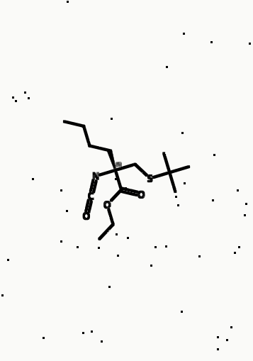 CCCC[C@](CSC(C)(C)C)(N=C=O)C(=O)OCC